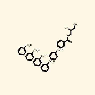 O=C(O)c1ccccc1.O=C(O)c1ccccc1.O=C(O)c1ccccc1.O=C(O)c1ccccc1.O=C(O)c1ccccc1.O=C(OCC(O)CO)c1ccccc1